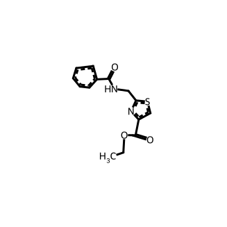 CCOC(=O)c1csc(CNC(=O)c2ccccc2)n1